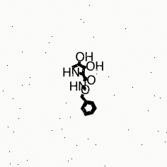 O=C(NOCc1ccccc1)C1NCC(O)C1O